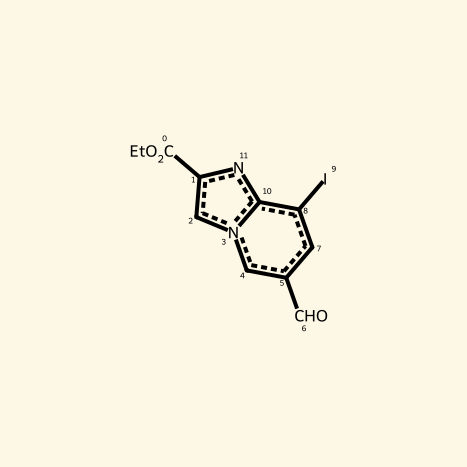 CCOC(=O)c1cn2cc(C=O)cc(I)c2n1